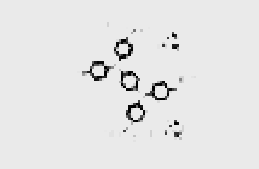 CCCN(CCC)c1ccc(N(c2ccc(N(CCC)CCC)cc2)c2ccc(N(c3ccc(N(CCC)CCC)cc3)c3ccc(N(CCC)CCC)cc3)cc2)cc1.O=S(=O)(O)C(F)(F)F.O=S(=O)(O)C(F)(F)F